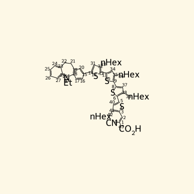 [C-]#[N+]/C(=C\c1sc(-c2sc(-c3sc(-c4sc(-c5ccc6c(c5)CCc5ccccc5N6CC)cc4CCCCCC)cc3CCCCCC)cc2CCCCCC)cc1CCCCCC)C(=O)O